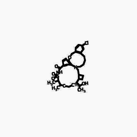 CC1CCC[C@@H]([C@H](C)O)C2CCC2CN2CCCCc3cc(Cl)ccc3COc3ccc(cc32)C(=O)NS(=O)(=O)C1C